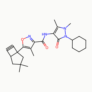 Cc1c(C(=O)Nc2c(C)n(C)n(C3CCCCC3)c2=O)noc1C12C#CC1CC(C)(C)C2